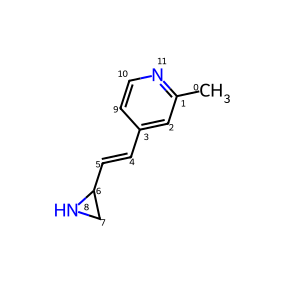 Cc1cc(C=CC2CN2)ccn1